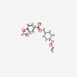 C=COCC1CCC(COC(=O)c2ccc3c(c2)OCO3)CC1